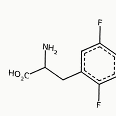 NC(Cc1cc(F)ccc1F)C(=O)O